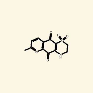 Cc1ccc2c(n1)C(=O)C1=C(C2=O)S(=O)(=O)CCN1